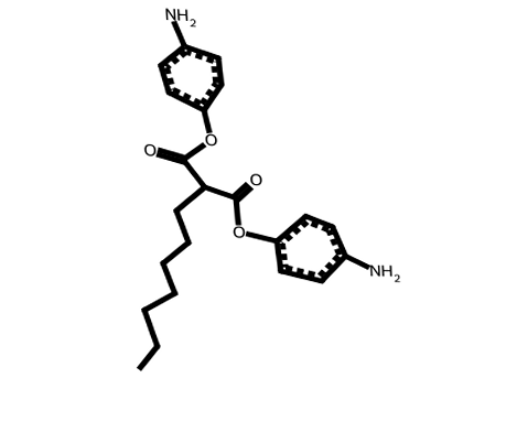 CCCCCCCC(C(=O)Oc1ccc(N)cc1)C(=O)Oc1ccc(N)cc1